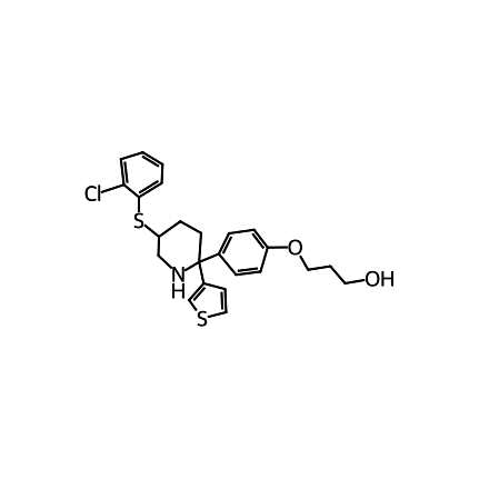 OCCCOc1ccc(C2(c3ccsc3)CCC(Sc3ccccc3Cl)CN2)cc1